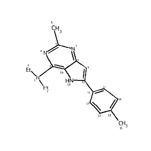 CCN(CC)c1nc(C)nc2cc(-c3ccc(C)cc3)[nH]c12